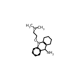 CN(C)CCON1C2=C(CCCC2)C(N)c2ccccc21